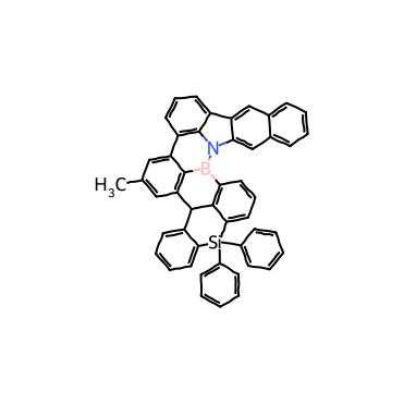 Cc1cc2c3c(c1)C1c4ccccc4[Si](c4ccccc4)(c4ccccc4)c4cccc(c41)B3n1c3cc4ccccc4cc3c3cccc-2c31